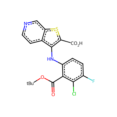 CC(C)(C)OC(=O)c1c(Nc2c(C(=O)O)sc3cnccc23)ccc(F)c1Cl